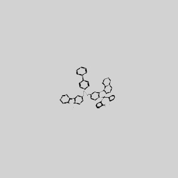 c1ccc(-c2ccc(N(c3ccc4c(c3)-c3c(ccc5ccccc35)C43c4ccccc4Oc4ccccc43)c3ccc4sc5ccccc5c4c3)cc2)cc1